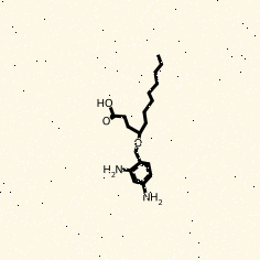 CCCCCCCCC(CCC(=O)O)OCc1ccc(N)cc1N